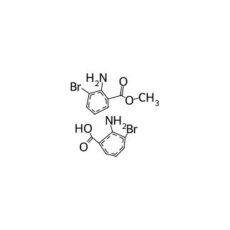 COC(=O)c1cccc(Br)c1N.Nc1c(Br)cccc1C(=O)O